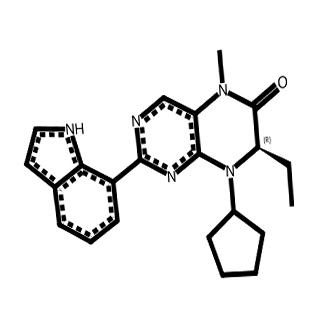 CC[C@@H]1C(=O)N(C)c2cnc(-c3cccc4cc[nH]c34)nc2N1C1CCCC1